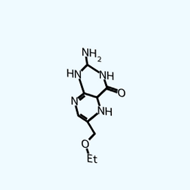 CCOCC1=CN=C2NC(N)NC(=O)C2N1